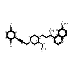 COc1ccc2nccc([C@@H](O)CC[C@@H]3CCN(CC#Cc4cc(F)ccc4F)C[C@@H]3CO)c2c1